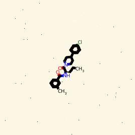 CCC[C@@H](NC(=O)c1cccc(C)c1)C(=O)N1CCC(c2ccc(Cl)cc2)CC1